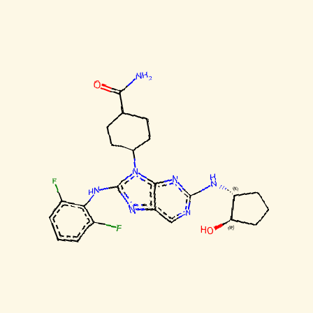 NC(=O)C1CCC(n2c(Nc3c(F)cccc3F)nc3cnc(N[C@@H]4CCC[C@H]4O)nc32)CC1